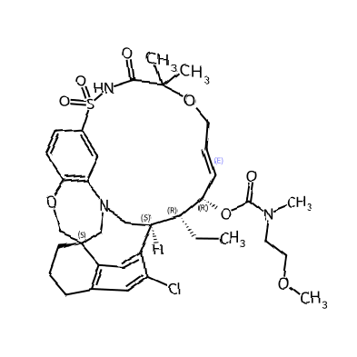 CC[C@H]1[C@@H](OC(=O)N(C)CCOC)/C=C/COC(C)(C)C(=O)NS(=O)(=O)c2ccc3c(c2)N2C[C@@H]1c1cc4c(cc1Cl)CCC[C@@]4(CO3)C2